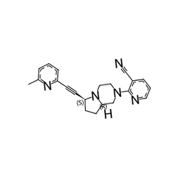 Cc1cccc(C#C[C@@H]2CC[C@@H]3CN(c4ncccc4C#N)CCN32)n1